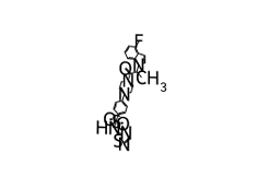 CC(C(=O)N1CCN(c2ccc(S(=O)(=O)Nc3ncns3)cc2)CC1)n1ccc2c(F)cccc21